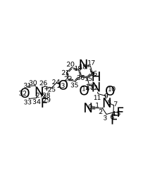 N#CC1CC(F)(F)CN1C(=O)CNC(=O)c1ccnc2ccc(OCCC[N+]3(CF)CCOCC3)cc12